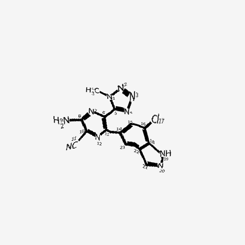 Cn1nnnc1-c1nc(N)c(C#N)nc1-c1cc(Cl)c2[nH]ncc2c1